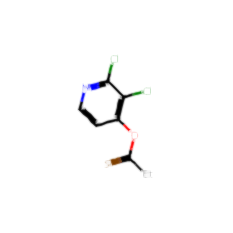 CCC(=S)Oc1ccnc(Cl)c1Cl